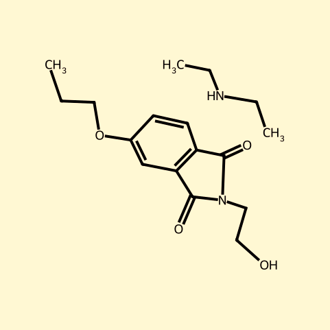 CCCOc1ccc2c(c1)C(=O)N(CCO)C2=O.CCNCC